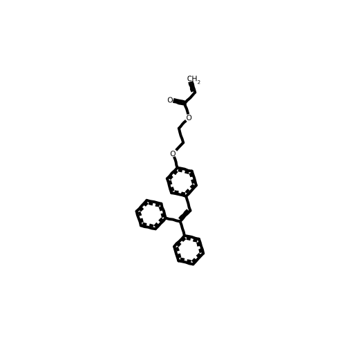 C=CC(=O)OCCOc1ccc(C=C(c2ccccc2)c2ccccc2)cc1